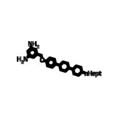 CCCCCCCC1CCC(C2CCC(c3ccc(OCc4cc(N)cc(N)c4)cc3)CC2)CC1